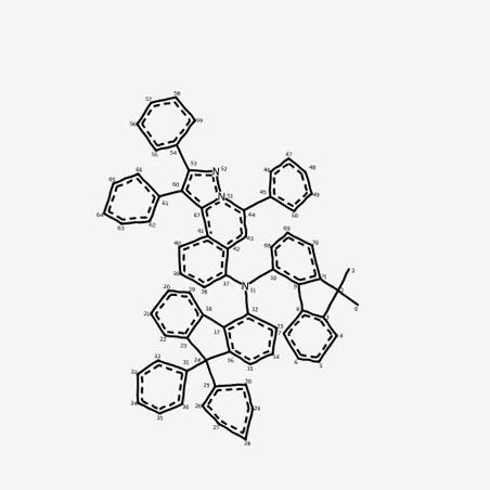 CC1(C)c2ccccc2-c2c(N(c3cccc4c3-c3ccccc3C4(c3ccccc3)c3ccccc3)c3cccc4c3cc(-c3ccccc3)n3nc(-c5ccccc5)c(-c5ccccc5)c43)cccc21